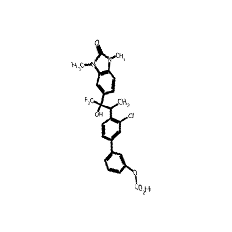 CC(c1ccc(-c2cccc(OC(=O)O)c2)cc1Cl)C(O)(c1ccc2c(c1)n(C)c(=O)n2C)C(F)(F)F